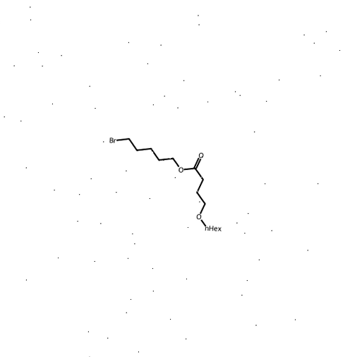 CCCCCCOCCCC(=O)OCCCCCBr